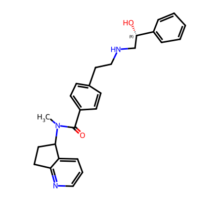 CN(C(=O)c1ccc(CCNC[C@H](O)c2ccccc2)cc1)C1CCc2ncccc21